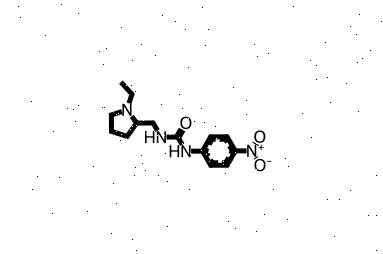 CCN1CCCC1CNC(=O)Nc1ccc([N+](=O)[O-])cc1